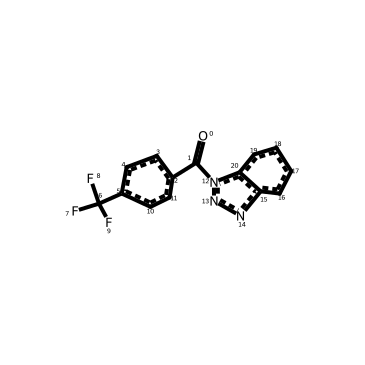 O=C(c1ccc(C(F)(F)F)cc1)n1nnc2ccccc21